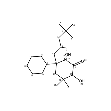 CC(CC(C)(C)C)CC1(C2CCCCC2)CC(C)(C)C(O)C(=O)N1O